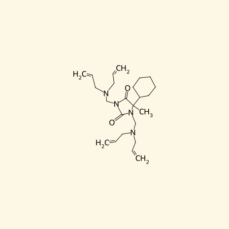 C=CCN(CC=C)CN1C(=O)N(CN(CC=C)CC=C)C(C)(C2CCCCC2)C1=O